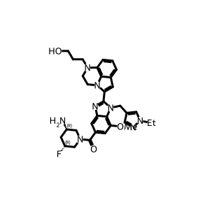 CCn1cc(Cn2c(-c3cc4cccc5c4n3CCN5CCCO)nc3cc(C(=O)N4C[C@H](N)C[C@@H](F)C4)cc(OC)c32)cn1